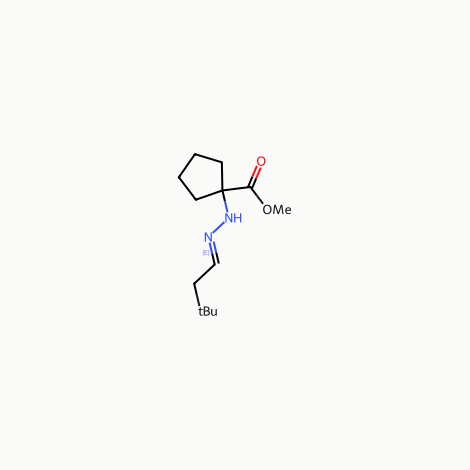 COC(=O)C1(N/N=C/CC(C)(C)C)CCCC1